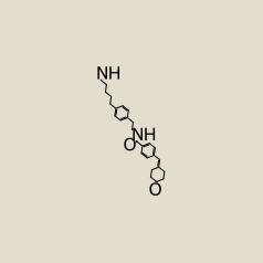 N=CCCCCc1ccc(CCNC(=O)c2ccc(C=C3CCC(=O)CC3)cc2)cc1